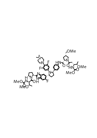 COC[C@H]1C[C@@H](C(=O)Nc2ccc([C@H]3CC[C@H](c4cc5nc([C@@H]6CCCN6C(=O)[C@H](NC(=O)OC)[C@@H](C)OC)[nH]c5cc4F)N3c3cc(F)c(N4CC[Si](C)(C)CC4)c(F)c3)cc2)N(C(=O)C[C@@H](NC(=O)OC)[C@@H](C)OC)C1